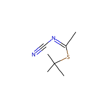 CC(=NC#N)SC(C)(C)C